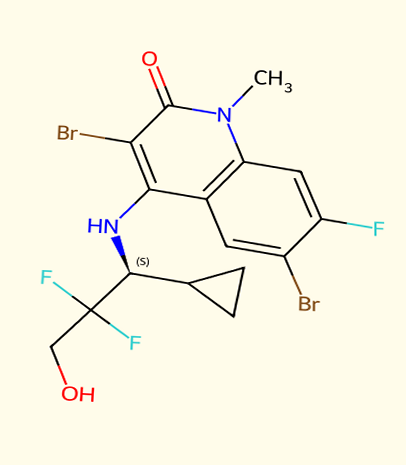 Cn1c(=O)c(Br)c(N[C@@H](C2CC2)C(F)(F)CO)c2cc(Br)c(F)cc21